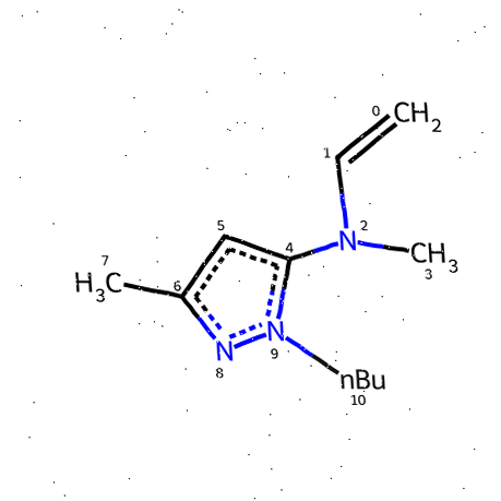 C=CN(C)c1cc(C)nn1CCCC